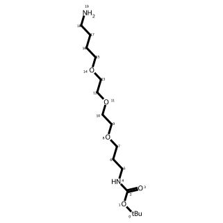 CC(C)(C)OC(=O)NCCCOCCOCCOCCCCN